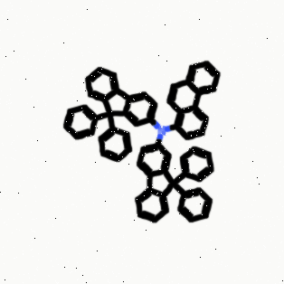 c1ccc(C2(c3ccccc3)c3ccccc3-c3ccc(N(c4ccc5c(c4)C(c4ccccc4)(c4ccccc4)c4ccccc4-5)c4cccc5c4ccc4ccccc45)cc32)cc1